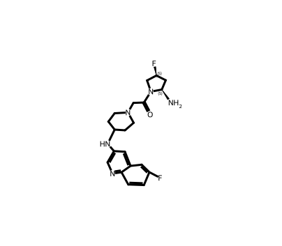 N[C@@H]1C[C@H](F)CN1C(=O)CN1CCC(Nc2cnc3ccc(F)cc3c2)CC1